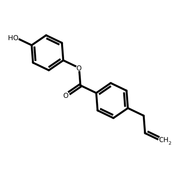 C=CCc1ccc(C(=O)Oc2ccc(O)cc2)cc1